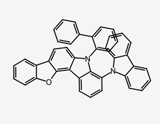 c1ccc(-c2ccccc2-n2c3ccc4c5ccccc5oc4c3c3cccc(-n4c5ccccc5c5ccccc54)c32)cc1